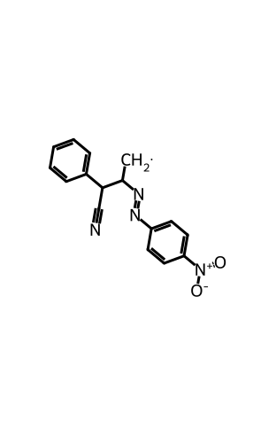 [CH2]C(N=Nc1ccc([N+](=O)[O-])cc1)C(C#N)c1ccccc1